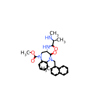 CN[C@@H](C)C(=O)N[C@H]1CN(C(=O)OC)c2ccccc2N(Cc2c(C)ccc3ccccc23)C1=O